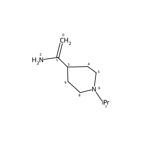 C=C(N)C1CCN(C(C)C)CC1